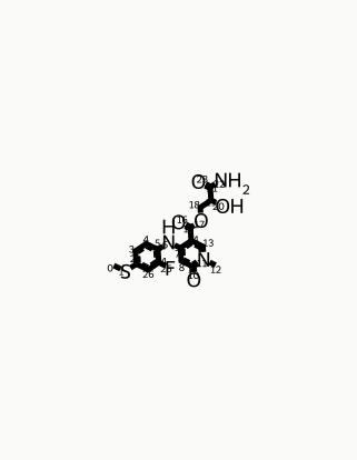 CSc1ccc(Nc2cc(=O)n(C)cc2C(=O)OCC(O)C(N)=O)c(F)c1